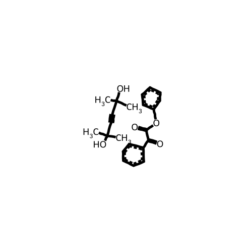 CC(C)(O)C#CC(C)(C)O.O=C(Oc1ccccc1)C(=O)c1ccccc1